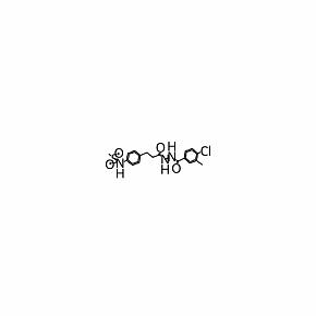 Cc1cc(C(=O)NNC(=O)CCc2ccc(NS(C)(=O)=O)cc2)ccc1Cl